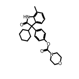 Cc1cccc2c1NC(=O)C2(c1ccc(OC(=O)N2CCOCC2)cc1)C1CCCCC1